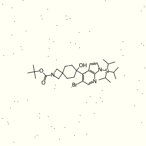 CC(C)[Si](C(C)C)(C(C)C)n1ccc2c(C3(O)CCC4(CC3)CN(C(=O)OC(C)(C)C)C4)c(Br)cnc21